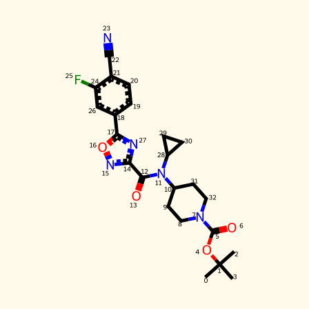 CC(C)(C)OC(=O)N1CCC(N(C(=O)c2noc(-c3ccc(C#N)c(F)c3)n2)C2CC2)CC1